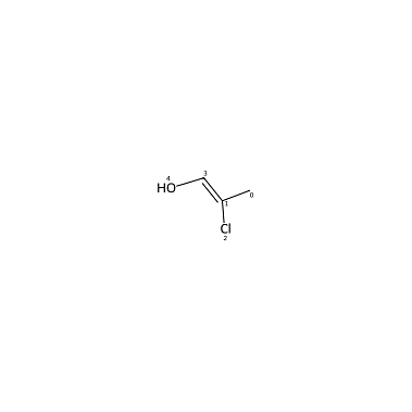 CC(Cl)=CO